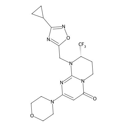 O=c1cc(N2CCOCC2)nc2n1CC[C@@H](C(F)(F)F)N2Cc1nc(C2CC2)no1